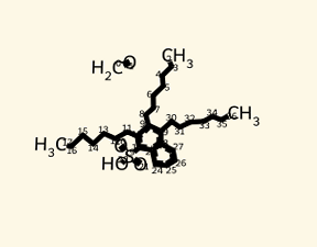 C=O.CCCCCCCc1c(CCCCCCC)c(S(=O)(=O)O)c2ccccc2c1CCCCCCC